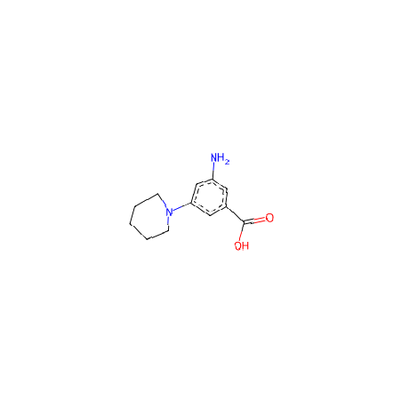 Nc1cc(C(=O)O)cc(N2CCCCC2)c1